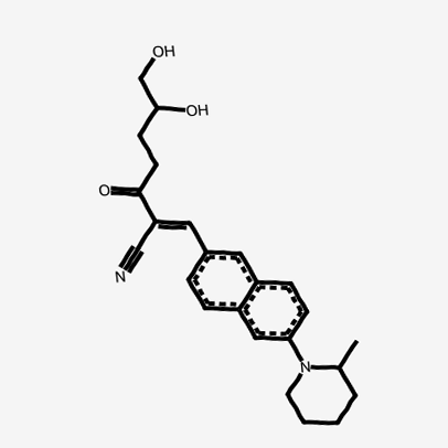 CC1CCCCN1c1ccc2cc(/C=C(\C#N)C(=O)CCC(O)CO)ccc2c1